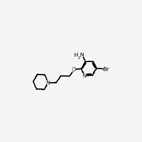 Nc1cc(Br)cnc1OCCCN1CCCCC1